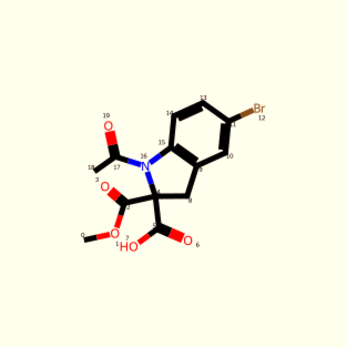 COC(=O)C1(C(=O)O)Cc2cc(Br)ccc2N1C(C)=O